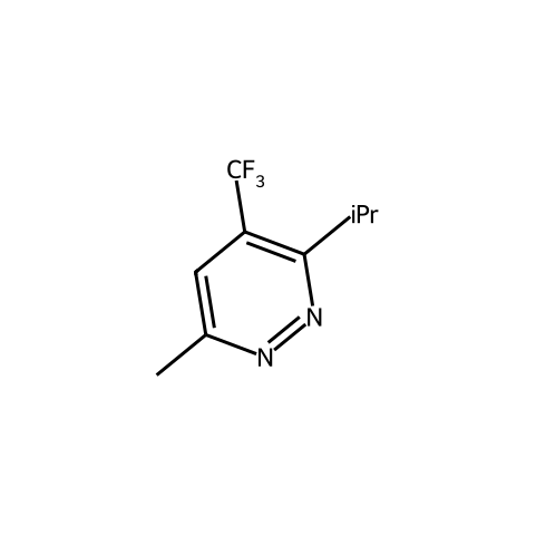 Cc1cc(C(F)(F)F)c(C(C)C)nn1